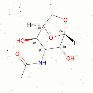 CC(=O)N[C@@H]1[C@@H](O)[C@H]2CO[C@@H](O2)[C@@H]1O